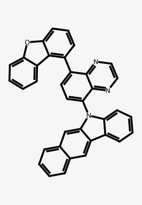 c1ccc2cc3c(cc2c1)c1ccccc1n3-c1ccc(-c2cccc3oc4ccccc4c23)c2nccnc12